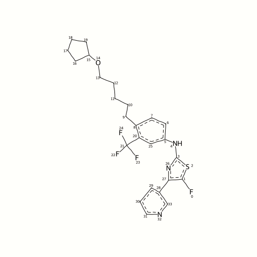 Fc1sc(Nc2ccc(CCCCCOC3CCCC3)c(C(F)(F)F)c2)nc1-c1cccnc1